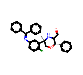 C[C@@]1(c2cc(N=C(c3ccccc3)c3ccccc3)ccc2F)CO[C@@H](c2ccccc2)C(C=O)N1